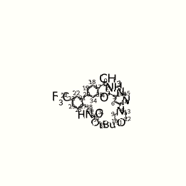 C[C@@H](NC(=O)c1cc(N2CCOCC2)ncn1)c1ccc(-c2cc(C(F)(F)F)ccc2CNC(=O)OC(C)(C)C)cc1